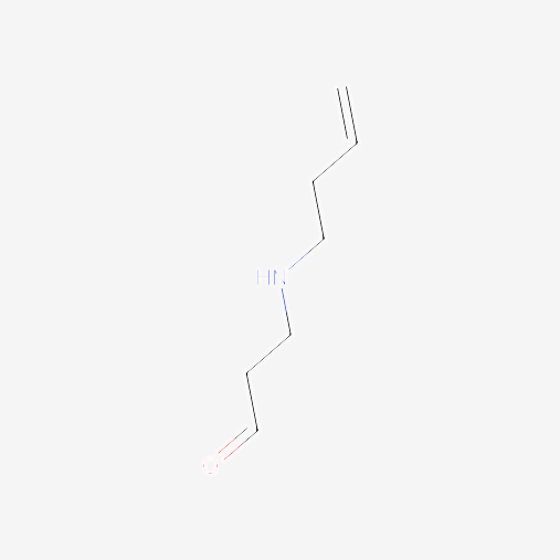 C=CCCNCCC=O